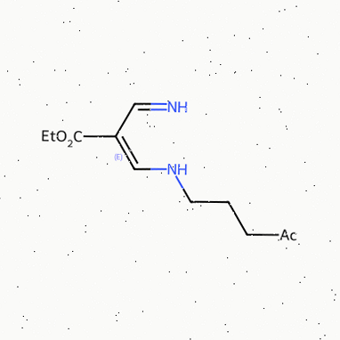 CCOC(=O)/C(C=N)=C/NCCCC(C)=O